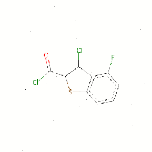 O=C(Cl)C1Sc2cccc(F)c2C1Cl